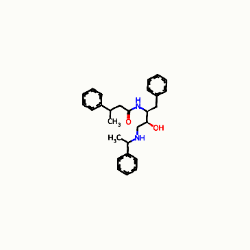 CC(CC(=O)N[C@@H](Cc1ccccc1)[C@@H](O)CNC(C)c1ccccc1)c1ccccc1